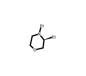 CC[C@H]1COCCN1CC